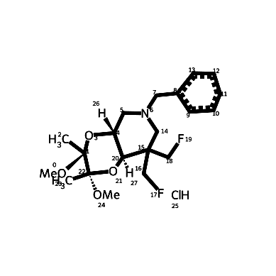 CO[C@@]1(C)O[C@@H]2CN(Cc3ccccc3)CC(CF)(CF)[C@H]2O[C@]1(C)OC.Cl